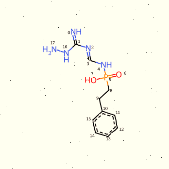 N=C(N=CNP(=O)(O)CCc1ccccc1)NN